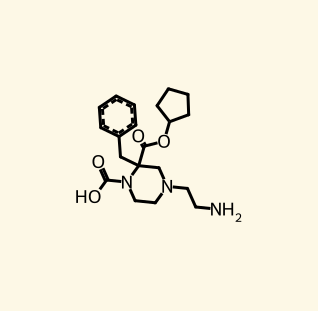 NCCN1CCN(C(=O)O)C(Cc2ccccc2)(C(=O)OC2CCCC2)C1